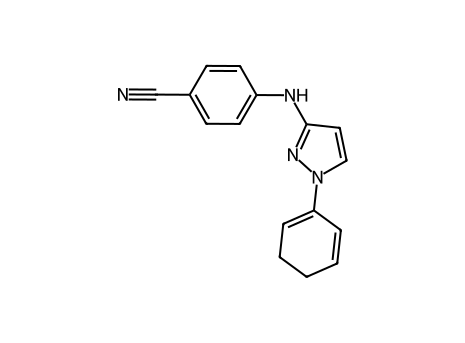 N#Cc1ccc(Nc2ccn(C3=CCCC=C3)n2)cc1